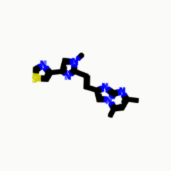 Cc1cc(C)n2cc(C=Cc3nc(-c4cscn4)cn3C)nc2n1